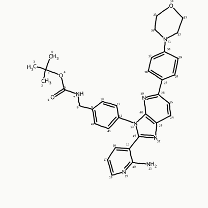 CC(C)(C)OC(=O)NCc1ccc(-n2c(-c3cccnc3N)nc3ccc(-c4ccc(N5CCOCC5)cc4)nc32)cc1